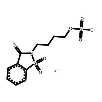 O=C1c2ccccc2S(=O)(=O)N1CCCCOS(=O)(=O)[O-].[K+]